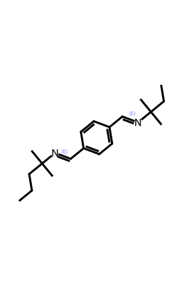 CCCC(C)(C)/N=C/c1ccc(/C=N/C(C)(C)CC)cc1